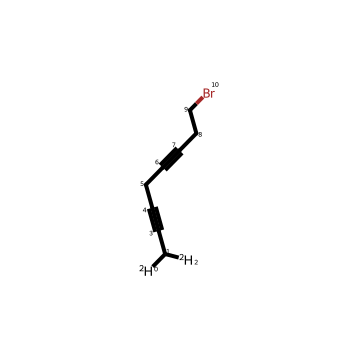 [2H]C([2H])C#CCC#CCCBr